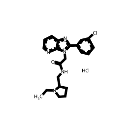 CCN1CCCC1CNC(=O)Cn1c(-c2cccc(Cl)c2)nc2cccnc21.Cl